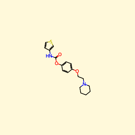 O=C(Nc1ccsc1)Oc1ccc(OCCN2CCCCC2)cc1